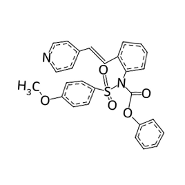 COc1ccc(S(=O)(=O)N(C(=O)Oc2ccccc2)c2ccccc2C=Cc2ccncc2)cc1